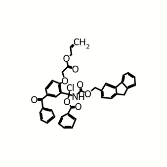 C=CCOC(=O)COc1ccc(C(=O)c2ccccc2)cc1C(Cl)(NC(=O)OCc1ccc2c(c1)-c1ccccc1C2)OC(=O)c1ccccc1